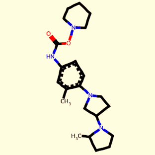 Cc1cc(NC(=O)ON2CCCCC2)ccc1N1CCC(N2CCCC2C)C1